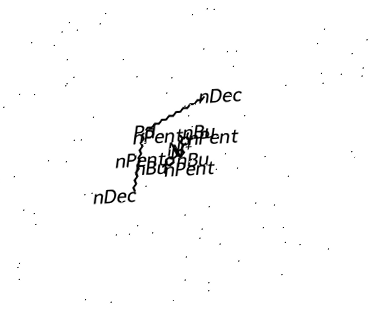 CCCCCCCCCCCCCCCCCCCCCCCCC[CH2][Pd][CH2]CCCCCCCCCCCCCCCCCCCCCCCCC.CCCCCc1cc(C2=CC(CCCC)=C(c3cc(CCCCC)c(CCCC)c(CCCCC)c3)[N+]2=[N-])cc(CCCCC)c1CCCC